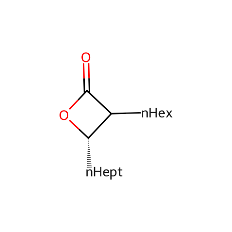 CCCCCCC[C@@H]1OC(=O)C1CCCCCC